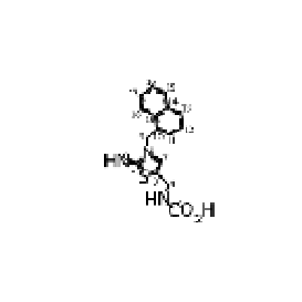 N=c1sc(CNC(=O)O)cn1Cc1cccc2ccccc12